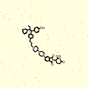 CC/C(=C(\c1ccc(O)cc1)c1ccc(CCCN2CCC(N3CCN(c4ccc5c(c4)C(=O)N(C4CCC(=O)NC4=O)C5=O)CC3)CC2)cc1)c1ccccc1